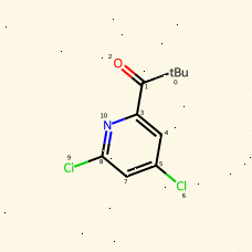 CC(C)(C)C(=O)c1cc(Cl)cc(Cl)n1